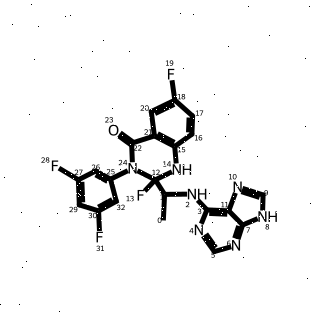 CC(Nc1ncnc2[nH]cnc12)C1(F)Nc2ccc(F)cc2C(=O)N1c1cc(F)cc(F)c1